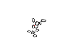 c1ccc(-c2cc(-c3cccc(-c4cc5nc(-c6ccccc6)cc(-c6ccccc6)c5c5ccccc45)c3)nc(-c3ccccc3)n2)cc1